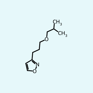 CC(C)COCCCc1ccon1